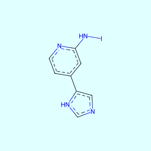 INc1cc(-c2cnc[nH]2)ccn1